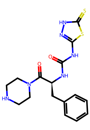 O=C(Nc1n[nH]c(=S)s1)N[C@@H](Cc1ccccc1)C(=O)N1CCNCC1